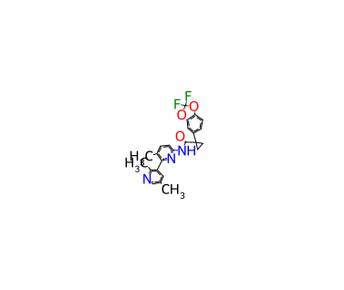 Cc1cnc(C)c(-c2nc(NC(=O)C3(c4ccc5c(c4)OC(F)(F)O5)CC3)ccc2C)c1